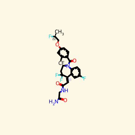 C[C@H](F)COc1ccc(C(=O)N2CCC(F)(F)/C(=C\C(=O)NCC(N)=O)c3cc(F)ccc32)c(C(F)(F)F)c1